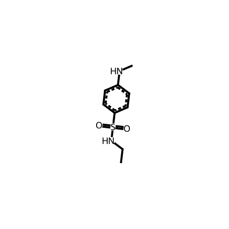 CCNS(=O)(=O)c1ccc(NC)cc1